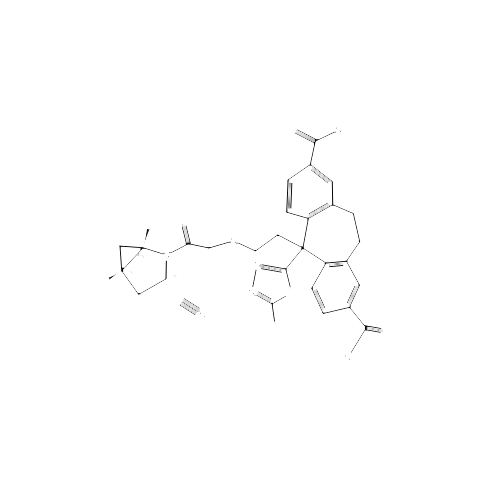 Cc1nnc(C2(CCNCC(=O)N3[C@H](C#N)C[C@@H]4C[C@@H]43)c3ccc(C(N)=O)cc3CCc3cc(C(N)=O)ccc32)o1